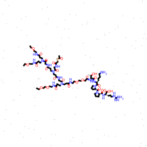 CCOCCNC(=O)CCN(CCC(=O)NCCOCC)C(=O)CNC(=O)CCN(CCC(=O)NCC(=O)N(CCC(=O)NCCOCCOCC)CCC(=O)NCCOCCOCC(=O)N[C@H](C(=O)N[C@@H](CCCCN)C(=O)N1CCC[C@H]1C(=O)N1CCC[C@@H]1C(=O)N[C@@H](CCCNC(=N)N)C(=O)O)[C@H](C)O)C(=O)CNC(=O)CSC(C)=O